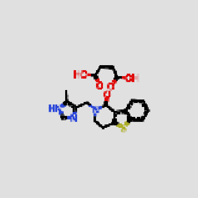 Cc1[nH]cnc1CN1CCc2sc3ccccc3c2C1=O.O=C(O)/C=C\C(=O)O